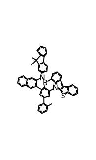 Cc1ccccc1-c1cc2c3c(c1)-n1c4sc5ccccc5c4c4cccc(c41)B3N(c1ccc3c(c1)C(C)(C)c1ccccc1-3)c1cc3ccccc3cc1-2